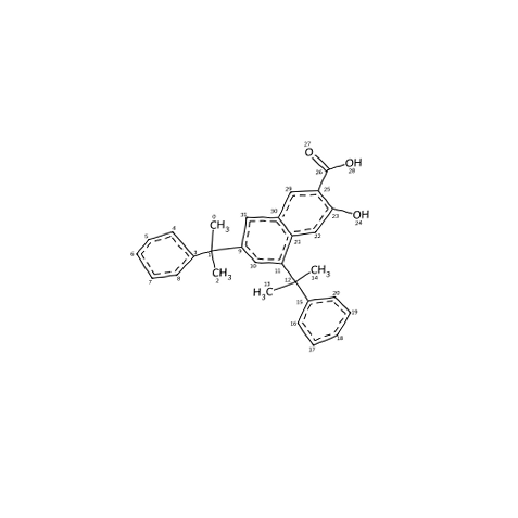 CC(C)(c1ccccc1)c1cc(C(C)(C)c2ccccc2)c2cc(O)c(C(=O)O)cc2c1